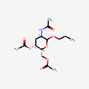 CCCOC1O[C@H](COC(C)=O)[C@H](OC(C)=O)C[C@H]1NC(C)=O